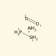 [AlH3].[O]=[Ti].[SiH3]P